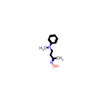 C/C(CCN(C)c1ccccc1)=N\O